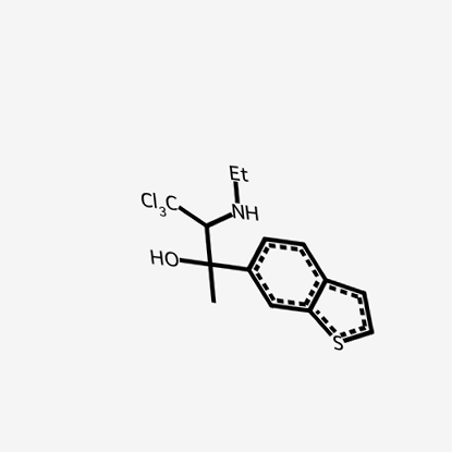 CCNC(C(Cl)(Cl)Cl)C(C)(O)c1ccc2ccsc2c1